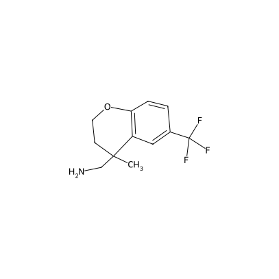 CC1(CN)CCOc2ccc(C(F)(F)F)cc21